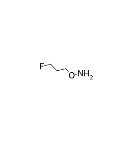 NOCCCF